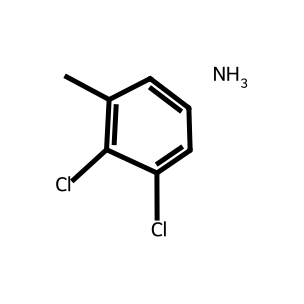 Cc1cccc(Cl)c1Cl.N